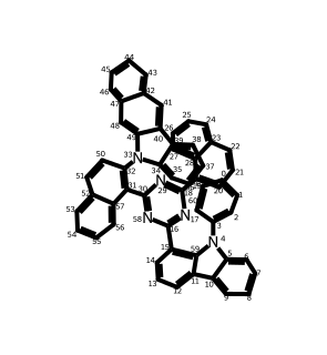 c1ccc(-n2c3ccccc3c3cccc(-c4nc(-c5cccc6ccccc56)nc(-c5c(-n6c7ccccc7c7cc8ccccc8cc76)ccc6ccccc56)n4)c32)cc1